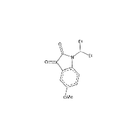 CCC(CC)N1C(=O)C(=O)c2cc(OC)ccc21